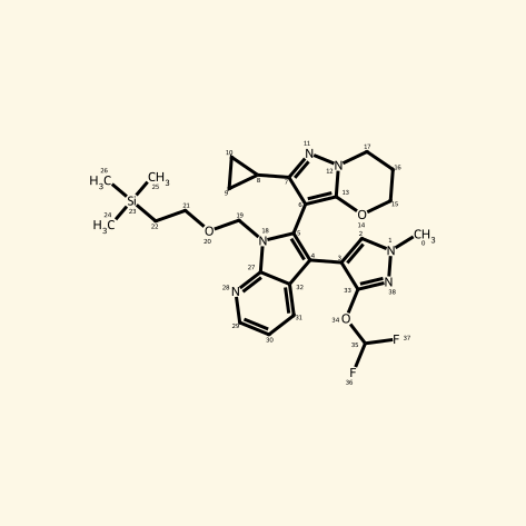 Cn1cc(-c2c(-c3c(C4CC4)nn4c3OCCC4)n(COCC[Si](C)(C)C)c3ncccc23)c(OC(F)F)n1